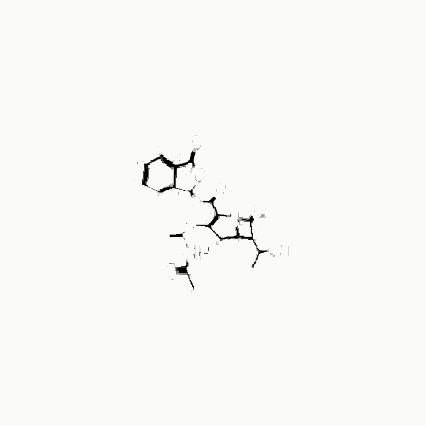 C=C(NC(C)=O)SC1=C(C(=O)OC2OC(=O)c3ccccc32)N2C(=O)C(C(C)O)C2C1